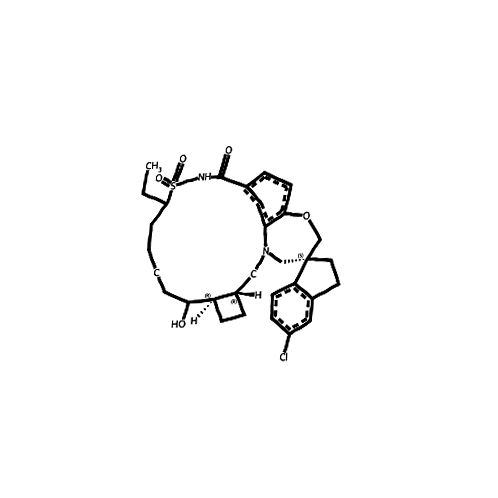 CCC1CCCCC(O)[C@@H]2CC[C@H]2CN2C[C@@]3(CCc4cc(Cl)ccc43)COc3ccc(cc32)C(=O)NS1(=O)=O